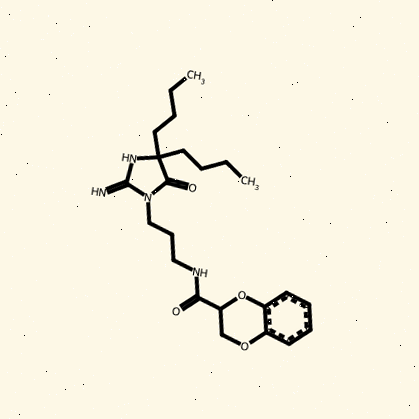 CCCCC1(CCCC)NC(=N)N(CCCNC(=O)C2COc3ccccc3O2)C1=O